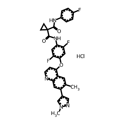 Cc1cc2c(Oc3cc(F)c(NC(=O)C4(C(=O)Nc5ccc(F)cc5)CC4)cc3F)ccnc2cc1-c1cnn(C)c1.Cl